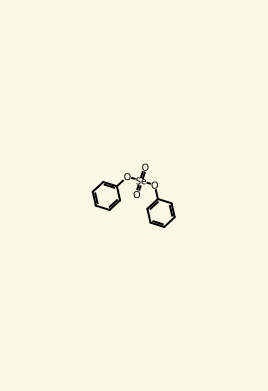 O=[Se](=O)(Oc1ccccc1)Oc1ccccc1